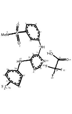 CNS(=O)(=O)c1cccc(Nc2cc(Nc3ccc(C(F)(F)F)cc3)ncn2)c1.O=C(O)C(F)(F)F